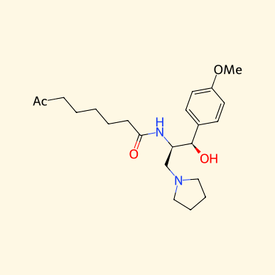 COc1ccc([C@@H](O)[C@@H](CN2CCCC2)NC(=O)CCCCCC(C)=O)cc1